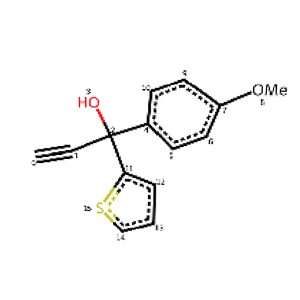 C#CC(O)(c1ccc(OC)cc1)c1cccs1